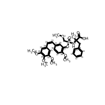 COCP(=O)(NC(C)(Cc1ccccc1)C(=O)O)Oc1cc(/C=C\c2cc(OC)c(OC)c(OC)c2)ccc1OC